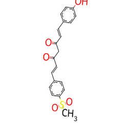 CS(=O)(=O)c1ccc(C=CC(=O)CC(=O)C=Cc2ccc(O)cc2)cc1